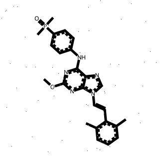 COc1nc(Nc2ccc(P(C)(C)=O)cc2)c2ncn(C=Cc3c(C)cccc3C)c2n1